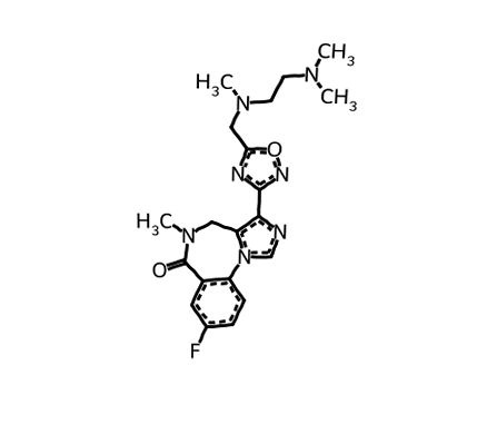 CN(C)CCN(C)Cc1nc(-c2ncn3c2CN(C)C(=O)c2cc(F)ccc2-3)no1